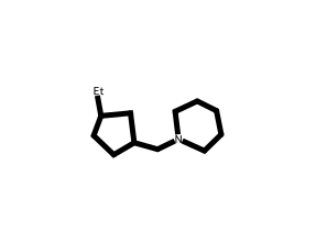 CCC1CCC(CN2CCCCC2)C1